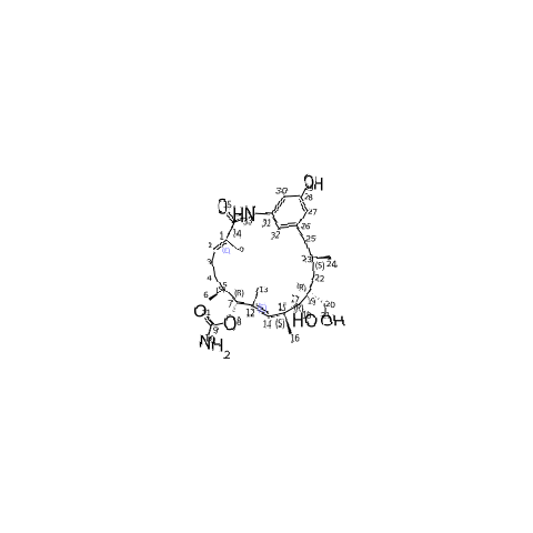 C/C1=C\CC[C@H](C)[C@@H](OC(N)=O)/C(C)=C/[C@H](C)[C@@H](O)[C@@H](CO)C[C@H](C)Cc2cc(O)cc(c2)NC1=O